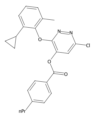 CCCc1ccc(C(=O)Oc2cc(Cl)nnc2Oc2c(C)cccc2C2CC2)cc1